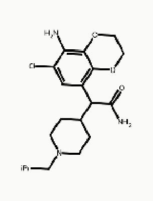 CC(C)CN1CCC(C(C(N)=O)c2cc(Cl)c(N)c3c2OCCO3)CC1